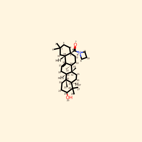 CC1(C)CC[C@]2(C(=O)N3CCC3)CC[C@]3(C)C(=CC[C@@H]4[C@@]5(C)CC[C@H](O)C(C)(C)[C@@H]5CC[C@]43C)[C@@H]2C1